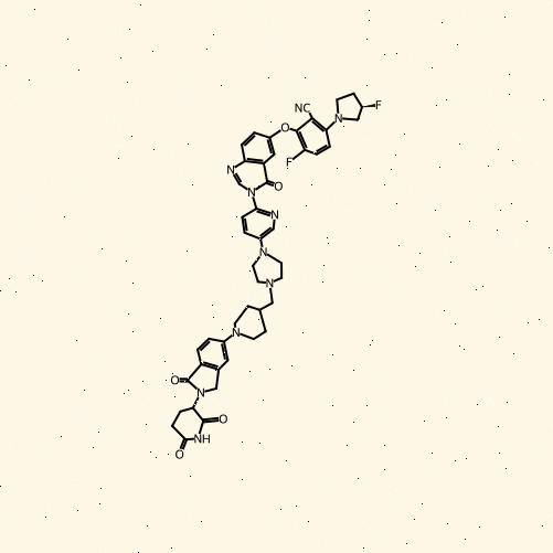 N#Cc1c(N2CC[C@@H](F)C2)ccc(F)c1Oc1ccc2ncn(-c3ccc(N4CCN(CC5CCN(c6ccc7c(c6)CN(C6CCC(=O)NC6=O)C7=O)CC5)CC4)cn3)c(=O)c2c1